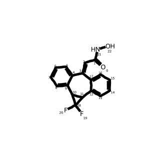 O=C(C=C1c2ccccc2C2C(c3ccccc31)C2(F)F)NO